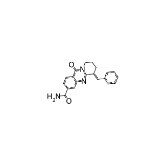 NC(=O)c1ccc2c(=O)n3c(nc2c1)C(=Cc1ccccc1)CCC3